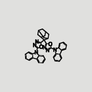 c1ccc2c(c1)c1ccccc1n2-c1nnc(C2(c3nnc(-n4c5ccccc5c5ccccc54)o3)C3CC4CC(C3)CC2C4)o1